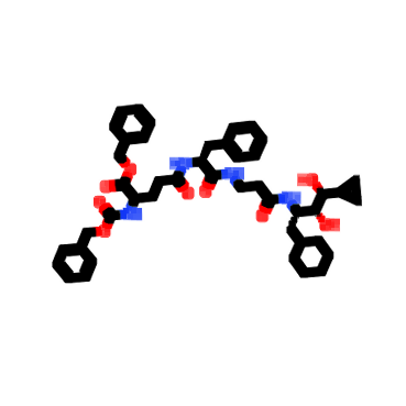 O=C(CCC(NC(=O)OCc1ccccc1)C(=O)OCc1ccccc1)N[C@@H](Cc1ccccc1)C(=O)NCCC(=O)N[C@@H](CC1CCCCC1)[C@@H](O)[C@@H](O)C1CC1